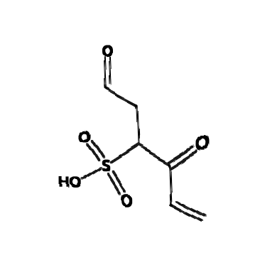 C=CC(=O)C(CC=O)S(=O)(=O)O